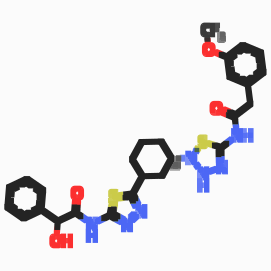 O=C(Cc1cccc(OC(F)(F)F)c1)NC1=NNN([C@H]2CCCC(c3nnc(NC(=O)C(O)c4ccccc4)s3)C2)S1